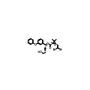 CC1(C)[C@H](C(=O)O[C@H](C#N)c2cccc(Oc3ccccc3)c2)[C@@H]1C=C(Br)Br.CCO